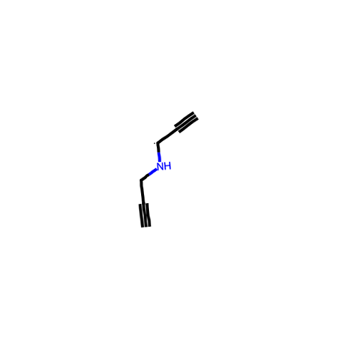 C#C[CH]NCC#C